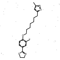 Cc1cc(CCCCCCCOc2ccc(C3=NCCO3)cc2F)on1